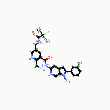 Cn1c(-c2cccc(Cl)c2)cc2cc(NC(=O)c3cc(CNC(=O)C(C)(C)F)cnc3C(F)F)ncc21